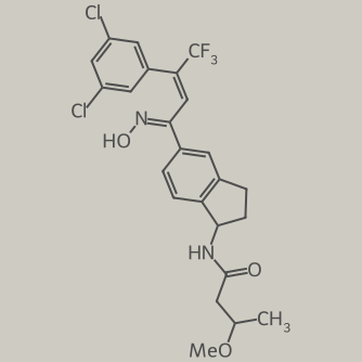 COC(C)CC(=O)NC1CCc2cc(C(C=C(c3cc(Cl)cc(Cl)c3)C(F)(F)F)=NO)ccc21